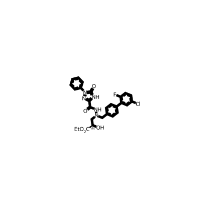 CCOC(=O)[C@H](O)CN(Cc1ccc(-c2cc(Cl)ccc2F)cc1)NC(=O)c1nn(-c2ccccc2)c(=O)[nH]1